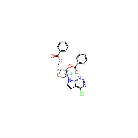 O=C(OC[C@H]1OC[C@@](F)(n2ccc3c(Cl)ncnc32)[C@@H]1OC(=O)c1ccccc1)c1ccccc1